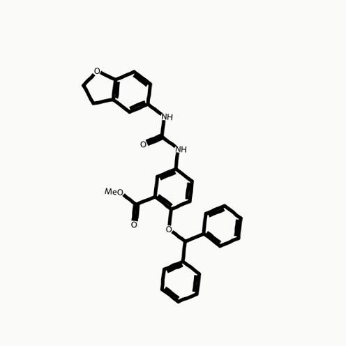 COC(=O)c1cc(NC(=O)Nc2ccc3c(c2)CCO3)ccc1OC(c1ccccc1)c1ccccc1